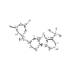 Cc1cc(C)cc(Nc2ccc3c(c2)oc2c(C(C)(C)C)cccc23)c1